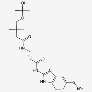 CCCSc1ccc2[nH]c(NC(=O)/C=C/NC(=O)CC(C)(C)COC(C)(C)O)nc2c1